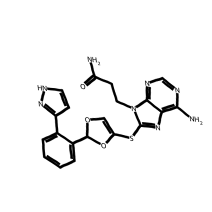 NC(=O)CCn1c(SC2=COC(c3ccccc3-c3cc[nH]n3)O2)nc2c(N)ncnc21